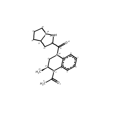 CC(=O)N1c2ccccc2N(C(=O)C2CC3CCCN3N2)C[C@@H]1C